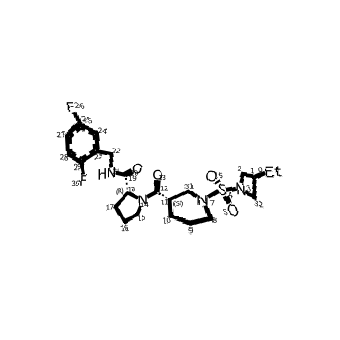 CCC1CN(S(=O)(=O)N2CCC[C@H](C(=O)N3CCC[C@@H]3C(=O)NCc3cc(F)ccc3F)C2)C1